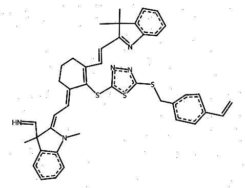 C=Cc1ccc(CSc2nnc(SC3=C(/C=C/C4=Nc5ccccc5C4(C)C)CCC/C3=C\C=C3/N(C)c4ccccc4C3(C)C=N)s2)cc1